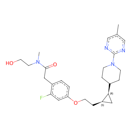 Cc1cnc(N2CCC([C@H]3C[C@H]3CCOc3ccc(CC(=O)N(C)CCO)c(F)c3)CC2)nc1